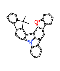 CC1(C)c2ccccc2-c2ccc3c(c21)c1c2oc4ccccc4c2cc2c4ccccc4n3c21